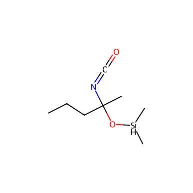 CCCC(C)(N=C=O)O[SiH](C)C